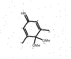 COC1(OC)C(C)=CC(=N)C=C1C